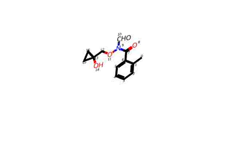 Cc1ccccc1C(=O)N(C=O)OCC1(O)CC1